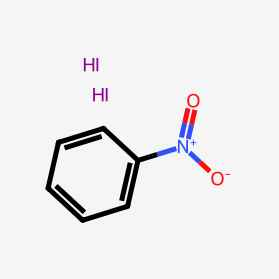 I.I.O=[N+]([O-])c1ccccc1